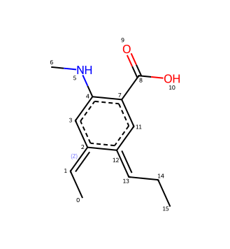 C/C=c1/cc(NC)c(C(=O)O)cc1=CCC